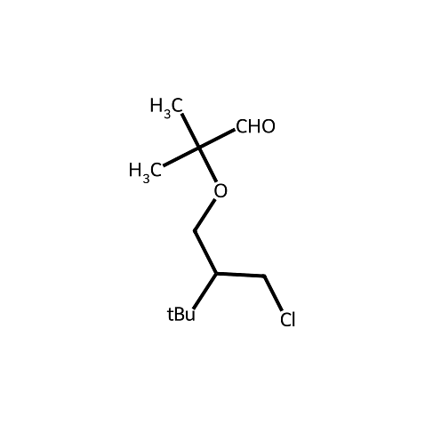 CC(C)(C=O)OCC(CCl)C(C)(C)C